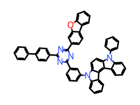 c1ccc(-c2ccc(-c3nc(-c4cccc(-n5c6ccccc6c6c7c8ccccc8n(-c8ccccc8)c7ccc65)c4)nc(-c4ccc5c(c4)oc4ccccc45)n3)cc2)cc1